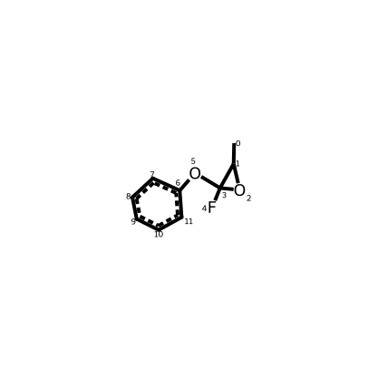 CC1OC1(F)Oc1ccccc1